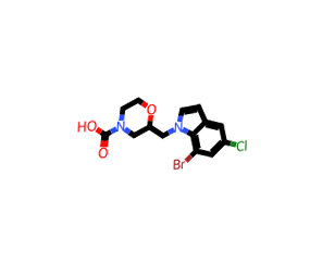 O=C(O)N1CCOC(Cn2ccc3cc(Cl)cc(Br)c32)C1